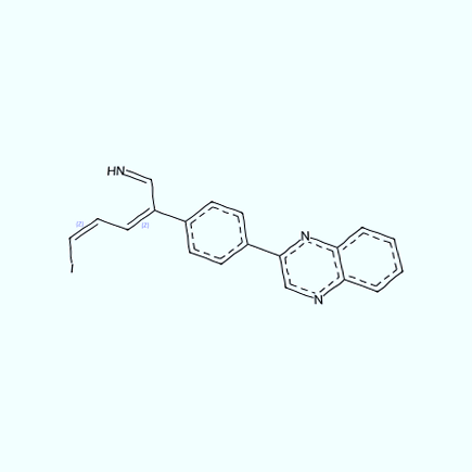 N=C/C(=C\C=C/I)c1ccc(-c2cnc3ccccc3n2)cc1